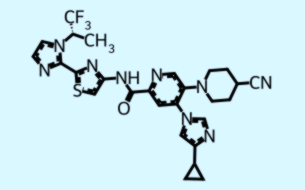 C[C@H](n1ccnc1-c1nc(NC(=O)c2cc(-n3cnc(C4CC4)c3)c(N3CCC(C#N)CC3)cn2)cs1)C(F)(F)F